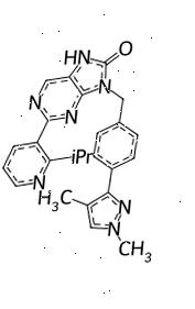 Cc1cn(C)nc1-c1ccc(Cn2c(=O)[nH]c3cnc(-c4cccnc4C(C)C)nc32)cc1